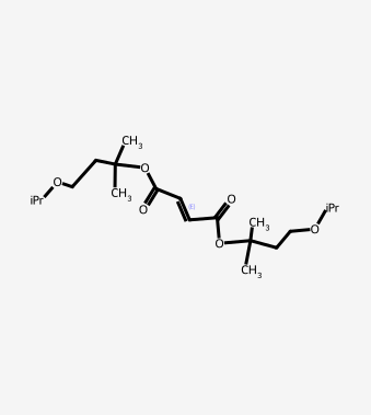 CC(C)OCCC(C)(C)OC(=O)/C=C/C(=O)OC(C)(C)CCOC(C)C